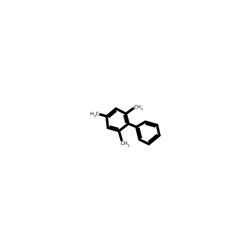 Cc1cc(C)c(-c2cc[c]cc2)c(C)c1